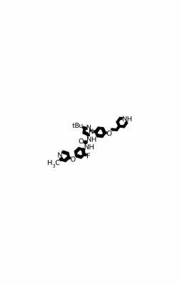 Cc1cc(Oc2ccc(NC(=O)Nc3cc(C(C)(C)C)nn3-c3ccc(OCCC4CCNCC4)cc3)c(F)c2)ccn1